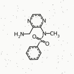 CN(c1nccnc1CN)S(=O)(=O)c1ccccc1